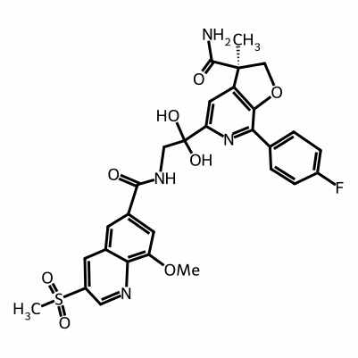 COc1cc(C(=O)NCC(O)(O)c2cc3c(c(-c4ccc(F)cc4)n2)OC[C@]3(C)C(N)=O)cc2cc(S(C)(=O)=O)cnc12